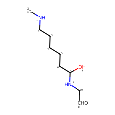 CCNCCCCCC(O)NCC=O